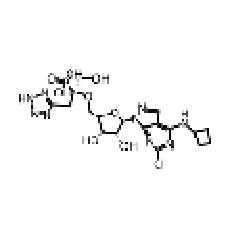 O=P(O)(O)[C@](CO)(Cc1nn[nH]n1)OC[C@H]1O[C@@H](n2ncc3c(NC4CCC4)nc(Cl)nc32)[C@H](O)[C@@H]1O